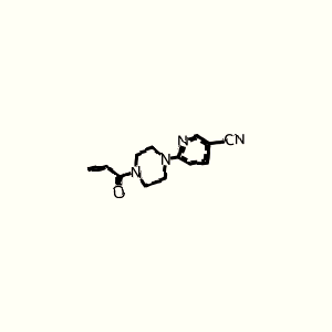 C=CC(=O)N1CCN(c2ccc(C#N)cn2)CC1